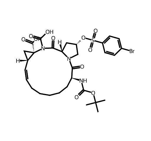 CC(C)(C)OC(=O)N[C@H]1CCCCCC=C[C@@H]2C[C@@]2(C(=O)O)N(C(=O)O)C(=O)[C@@H]2C[C@H](OS(=O)(=O)c3ccc(Br)cc3)CN2C1=O